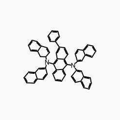 C1=CC(N(c2ccc3ccccc3c2)c2c3ccccc3c(N(c3ccc4ccccc4c3)c3ccc4ccccc4c3)c3ccc(-c4ccccc4)cc23)Cc2ccccc21